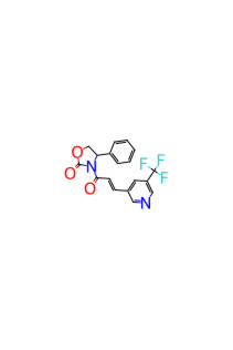 O=C(C=Cc1cncc(C(F)(F)F)c1)N1C(=O)OCC1c1ccccc1